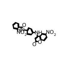 O=C(Nc1ccc(Nc2cc(=O)oc3ccc([N+](=O)[O-])cc23)cc1)c1ccccc1[N+](=O)[O-]